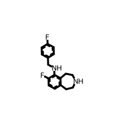 Fc1ccc(CNc2c(F)ccc3c2CCNCC3)cc1